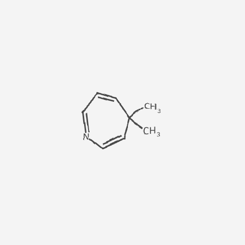 CC1(C)C=CC=NC=C1